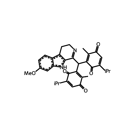 COc1ccc2c3c([nH]c2c1)C(C(C1=C(C)C(=O)C=C(C(C)C)C1=O)C1=C(C)C(=O)C=C(C(C)C)C1=O)=NCC3